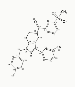 CS(=O)(=O)c1cccc(C(=O)N2CCc3c(c(-c4cccc(C#N)c4)nn3Cc3ccc(F)cc3)C2)c1